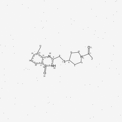 CC(=O)N1CCC(SCc2nc3c(C)cccc3c(=O)[nH]2)CC1